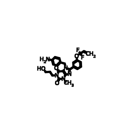 C=CC(F)(F)Oc1cccc(-c2nc3c(c(=O)n(CCCO)c(=O)n3C)n2Cc2ccc(N)cc2)c1